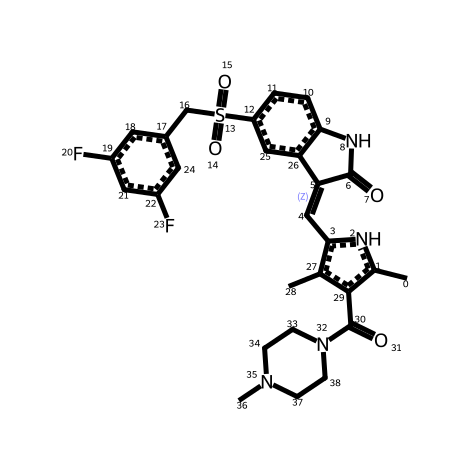 Cc1[nH]c(/C=C2\C(=O)Nc3ccc(S(=O)(=O)Cc4cc(F)cc(F)c4)cc32)c(C)c1C(=O)N1CCN(C)CC1